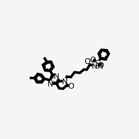 Cc1ccc(-c2nc3c(nc2-c2ccc(C)cc2)N(CCCCCCC(=O)NS(=O)(=O)c2ccccc2)C(=O)CC3)cc1